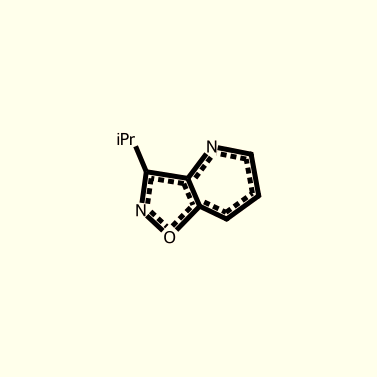 CC(C)c1noc2cccnc12